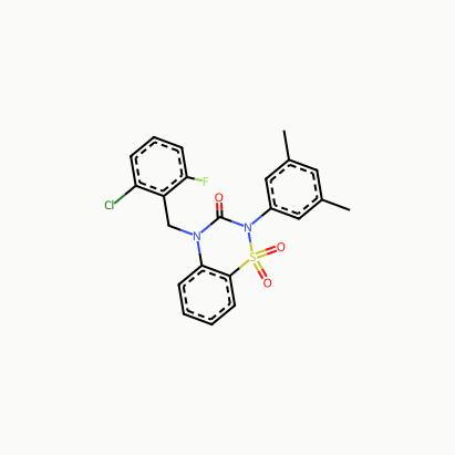 Cc1cc(C)cc(N2C(=O)N(Cc3c(F)cccc3Cl)c3ccccc3S2(=O)=O)c1